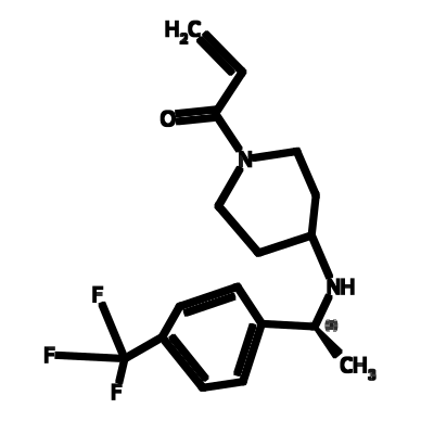 C=CC(=O)N1CCC(N[C@@H](C)c2ccc(C(F)(F)F)cc2)CC1